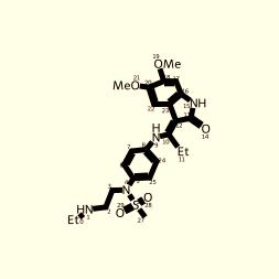 CCNCCN(c1ccc(NC(CC)=C2C(=O)Nc3cc(OC)c(OC)cc32)cc1)S(C)(=O)=O